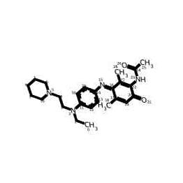 CCN(CCN1CCCCC1)c1ccc(N=C2C(C)=CC(=O)C(NC(C)=O)=C2C)cc1